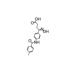 Cc1ccc(C(=O)Nc2ccc(/C(CCC(=O)O)=N\O)cc2)cc1